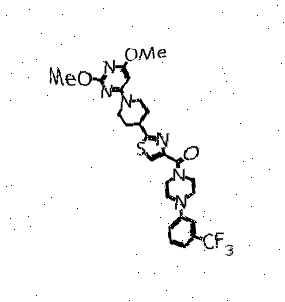 COc1cc(N2CCC(c3nc(C(=O)N4CCN(c5cccc(C(F)(F)F)c5)CC4)cs3)CC2)nc(OC)n1